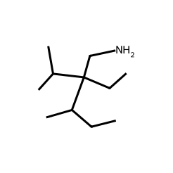 CCC(C)C(CC)(CN)C(C)C